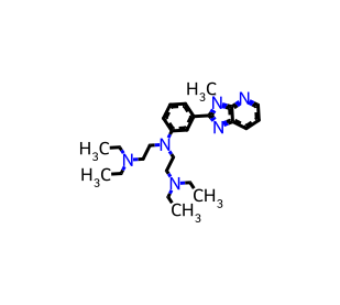 CCN(CC)CCN(CCN(CC)CC)c1cccc(-c2nc3cccnc3n2C)c1